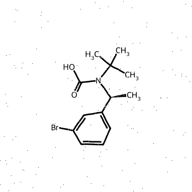 C[C@@H](c1cccc(Br)c1)N(C(=O)O)C(C)(C)C